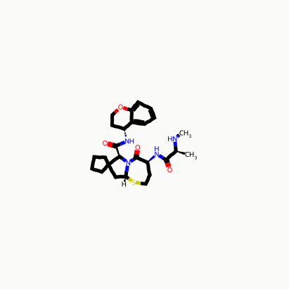 CN[C@@H](C)C(=O)N[C@H]1CCS[C@H]2CC3(CCCC3)[C@@H](C(=O)N[C@@H]3CCOc4ccccc43)N2C1=O